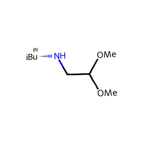 CC[C@@H](C)NCC(OC)OC